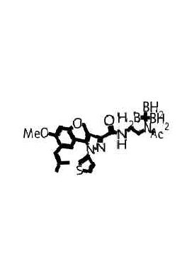 BC(B)(B)N(CCNC(=O)c1nn(-c2ccsc2)c2c1COc1cc(OC)c(C=C(C)C)cc1-2)C(C)=O